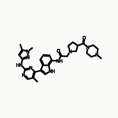 Cc1cnc(Nc2cc(C)n(C)n2)nc1-c1c[nH]c2c(NC(=O)CN3CCC(C(=O)N4CCN(C)CC4)C3)cccc12